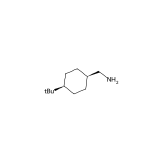 CC(C)(C)[C@H]1CC[C@@H](CN)CC1